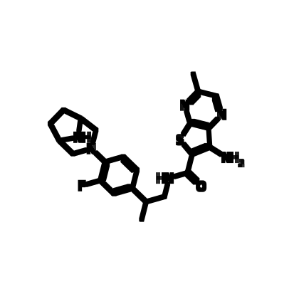 Cc1cnc2c(N)c(C(=O)NCC(C)c3ccc(N4CC5CCC(C4)N5)c(F)c3)sc2n1